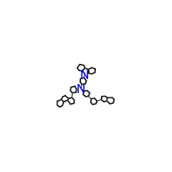 c1cc(-c2ccc(N(c3ccc(-n4c5ccccc5c5ccccc54)cc3)c3cccc(-c4cccc5c4ccc4ccccc45)c3)cc2)cc(-c2ccc3ccccc3c2)c1